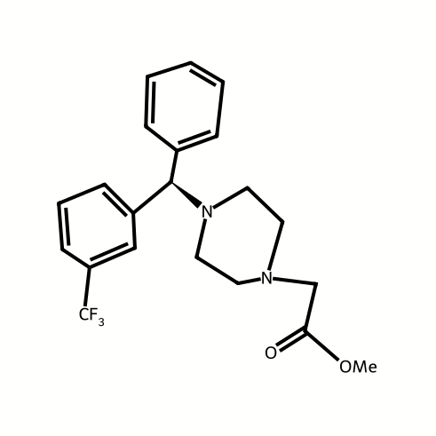 COC(=O)CN1CCN([C@H](c2ccccc2)c2cccc(C(F)(F)F)c2)CC1